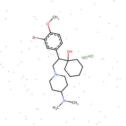 COc1ccc(C(CN2CCC(N(C)C)CC2)C2(O)CCCCC2)cc1Br.Cl.Cl